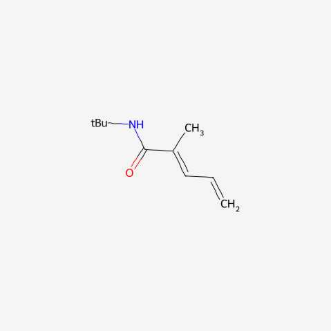 C=C/C=C(\C)C(=O)NC(C)(C)C